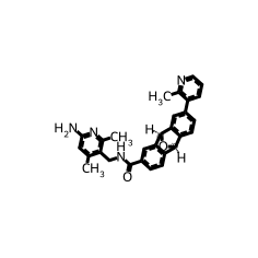 Cc1cc(N)nc(C)c1CNC(=O)c1ccc2c(c1)[C@@H]1O[C@H]2c2ccc(-c3cccnc3C)cc21